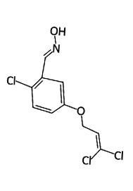 ON=Cc1cc(OCC=C(Cl)Cl)ccc1Cl